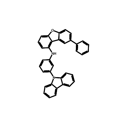 c1ccc(-c2ccc3oc4cccc(Nc5cccc(-n6c7ccccc7c7ccccc76)c5)c4c3c2)cc1